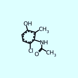 CC(=O)Nc1c(Cl)ccc(O)c1C